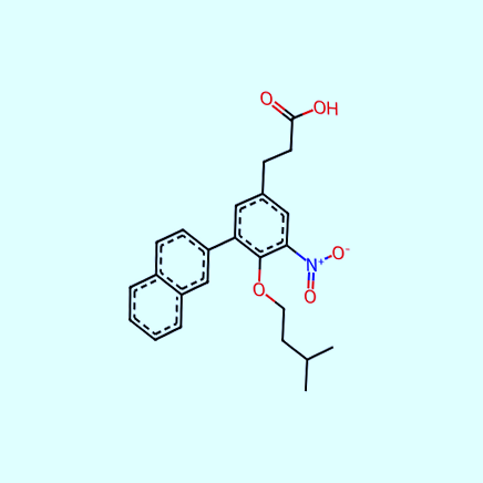 CC(C)CCOc1c(-c2ccc3ccccc3c2)cc(CCC(=O)O)cc1[N+](=O)[O-]